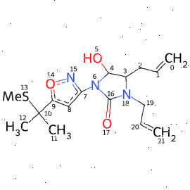 C=CCC1C(O)N(c2cc(C(C)(C)SC)on2)C(=O)N1CC=C